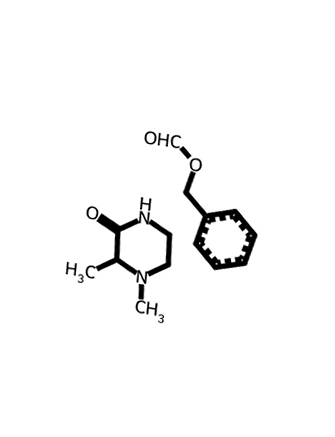 CC1C(=O)NCCN1C.O=COCc1ccccc1